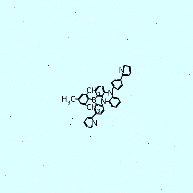 Cc1cc(C)c(B2c3cc(-c4ccccn4)ccc3N3c4ccccc4N(c4ccc(-c5ccccn5)cc4)c4cccc2c43)c(C)c1